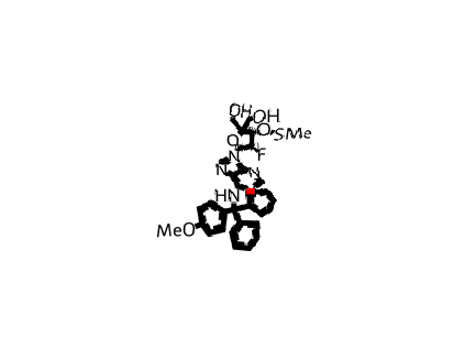 COc1ccc(C(Nc2ncnc3c2ncn3[C@@H]2OC(CO)(CO)[C@@H](OSC)[C@H]2F)(c2ccccc2)c2ccccc2)cc1